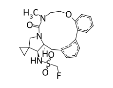 CN1CCOc2ccccc2-c2cccc(c2)C[C@H]2[C@@H](NS(=O)(=O)CF)C3(CC3)CN2C1=O